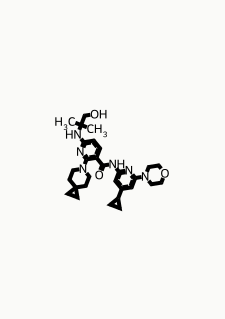 CC(C)(CO)Nc1ccc(C(=O)Nc2cc(C3CC3)cc(N3CCOCC3)n2)c(N2CCC3(CC2)CC3)n1